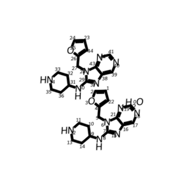 O.c1coc(Cn2c(NC3CCNCC3)nc3cncnc32)c1.c1coc(Cn2c(NC3CCNCC3)nc3cncnc32)c1